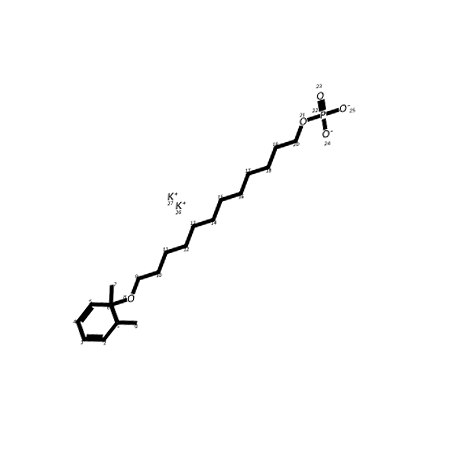 CC1C=CC=CC1(C)OCCCCCCCCCCCCOP(=O)([O-])[O-].[K+].[K+]